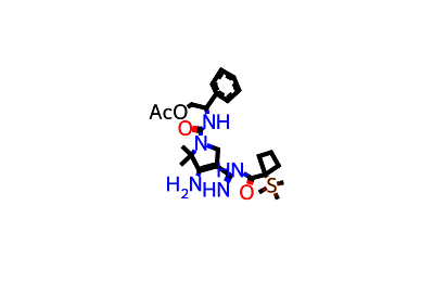 CC(=O)OCC(NC(=O)N1CC(C(=N)NC(=O)C2(S(C)(C)C)CCC2)=C(N)C1(C)C)c1ccccc1